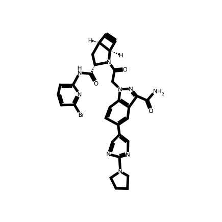 NC(=O)c1nn(CC(=O)N2[C@@H]3C#C[C@@H]3C[C@H]2C(=O)Nc2cccc(Br)n2)c2ccc(-c3cnc(N4CCCC4)nc3)cc12